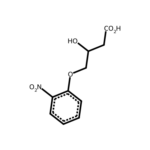 O=C(O)CC(O)COc1ccccc1[N+](=O)[O-]